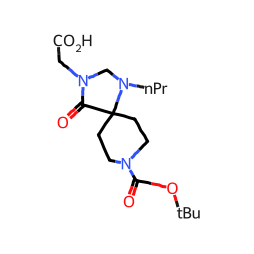 CCCN1CN(CC(=O)O)C(=O)C12CCN(C(=O)OC(C)(C)C)CC2